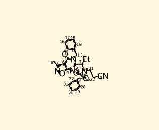 CCC(c1nc2onc(C)c2c(=O)n1Cc1ccccc1)N(CCC#N)S(=O)(=O)c1ccccc1